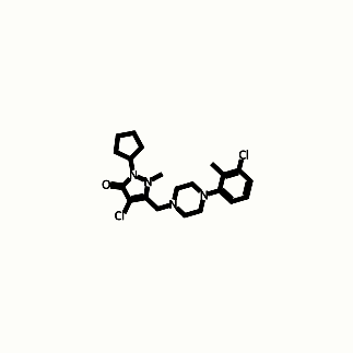 Cc1c(Cl)cccc1N1CCN(Cc2c(Cl)c(=O)n(C3CCCC3)n2C)CC1